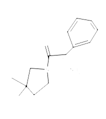 N[C@H](C(=O)N1CCC(F)(F)C1)c1ccccc1